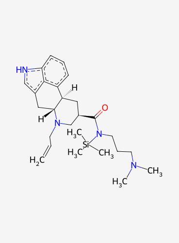 C=CCN1C[C@H](C(=O)N(CCCN(C)C)[Si](C)(C)C)C[C@@H]2c3cccc4[nH]cc(c34)C[C@H]21